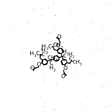 C=C(C)Cc1cc(C(C)(C)c2ccc(C(C)(c3ccc(OCC4CO4)c(CC(=C)C)c3)c3ccc(OCC4CO4)c(CC(=C)C)c3)cc2)ccc1OCC1CO1